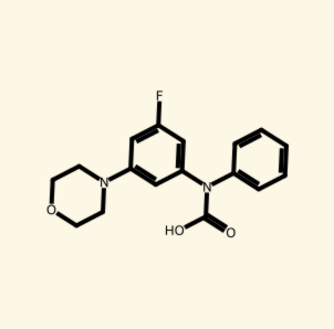 O=C(O)N(c1ccccc1)c1cc(F)cc(N2CCOCC2)c1